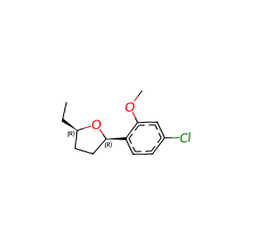 CC[C@@H]1CC[C@H](c2ccc(Cl)cc2OC)O1